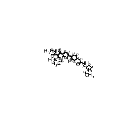 CCN1CCC[C@@H]1CNC(=O)Cc1ccc(-c2ccc3c(=O)c(C(=O)NC)c(N)n(CC)c3n2)c(F)c1